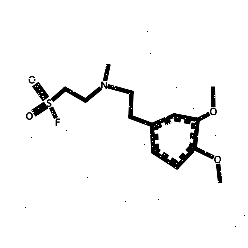 COc1ccc(CCN(C)CCS(=O)(=O)F)cc1OC